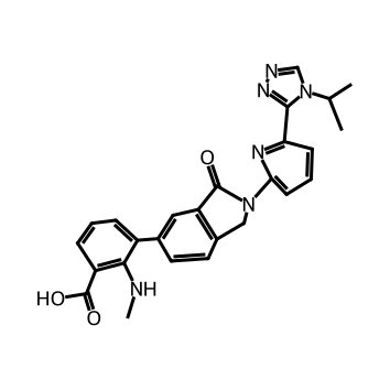 CNc1c(C(=O)O)cccc1-c1ccc2c(c1)C(=O)N(c1cccc(-c3nncn3C(C)C)n1)C2